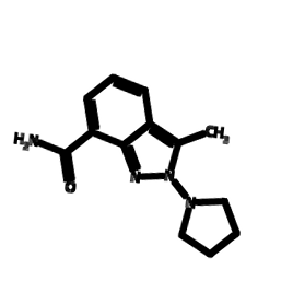 Cc1c2cccc(C(N)=O)c2nn1N1CCCC1